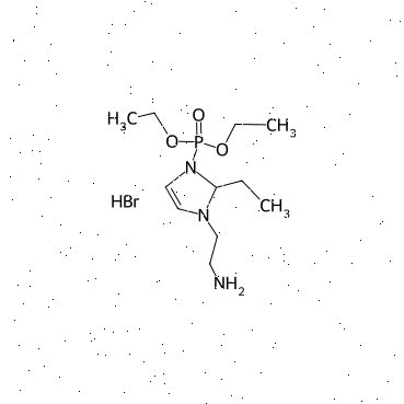 Br.CCOP(=O)(OCC)N1C=CN(CCN)C1CC